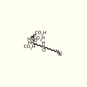 C[C@@](CCC(=O)O)(NC(=O)N[C@@H](CCCCNC(=O)CCCCCCN=[N+]=[N-])C(=O)O)C(=O)O